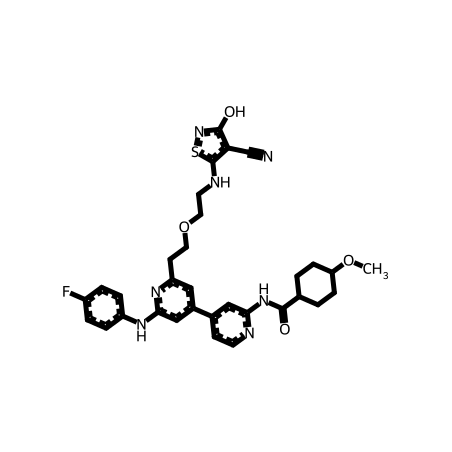 COC1CCC(C(=O)Nc2cc(-c3cc(CCOCCNc4snc(O)c4C#N)nc(Nc4ccc(F)cc4)c3)ccn2)CC1